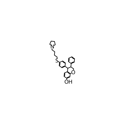 Oc1ccc2c(c1)OCC(c1ccccc1)C2c1ccc(SCCCCN2CCCC2)cc1